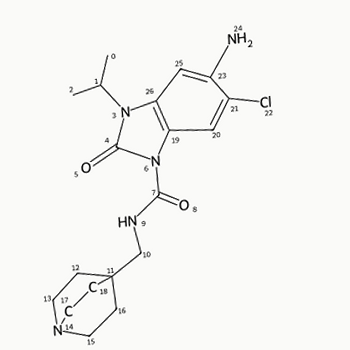 CC(C)n1c(=O)n(C(=O)NCC23CCN(CC2)CC3)c2cc(Cl)c(N)cc21